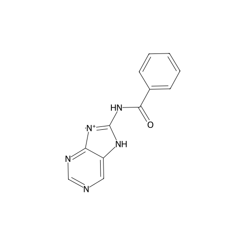 O=C(NC1=[N+]c2ncncc2N1)c1ccccc1